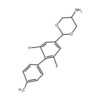 Cc1ccc(-c2c(F)cc(C3OCC(N)CO3)cc2F)cc1